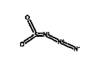 [N-]=[N+]=[N+]=S(=O)=O